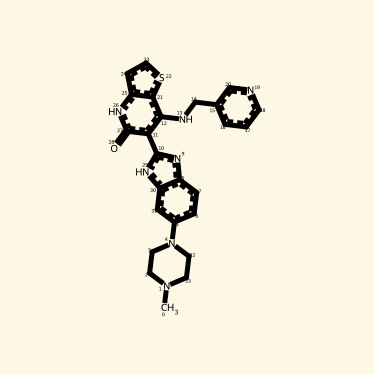 CN1CCN(c2ccc3nc(-c4c(NCc5cccnc5)c5sccc5[nH]c4=O)[nH]c3c2)CC1